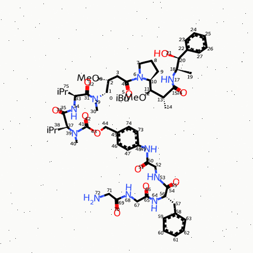 CC[C@H](C)[C@@H]([C@@H](CC(=O)N1CCC[C@H]1[C@H](OC)[C@@H](C)C(=O)N[C@H](C)[C@@H](O)c1ccccc1)OC)N(C)C(=O)[C@@H](NC(=O)[C@H](C(C)C)N(C)C(=O)OCc1ccc(NC(=O)CNC(=O)[C@H](Cc2ccccc2)NC(=O)CNC(=O)CN)cc1)C(C)C